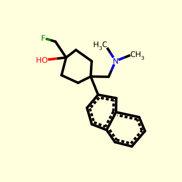 CN(C)CC1(c2ccc3ccccc3c2)CCC(O)(CF)CC1